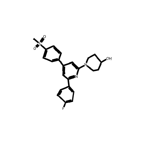 CS(=O)(=O)c1ccc(-c2cc(-c3ccc(F)cc3)nc(N3CCC(O)CC3)c2)cc1